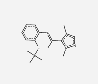 CC(=Nc1ccccc1O[Si](C)(C)C)c1c(C)cnn1C